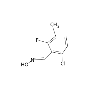 Cc1ccc(Cl)c(C=NO)c1F